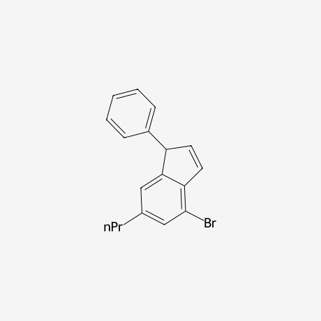 CCCc1cc(Br)c2c(c1)C(c1ccccc1)C=C2